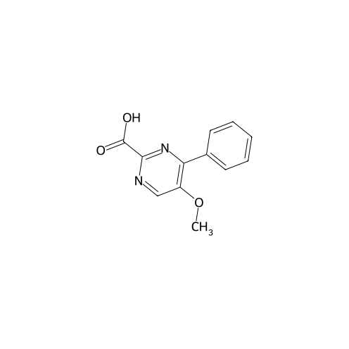 COc1cnc(C(=O)O)nc1-c1ccccc1